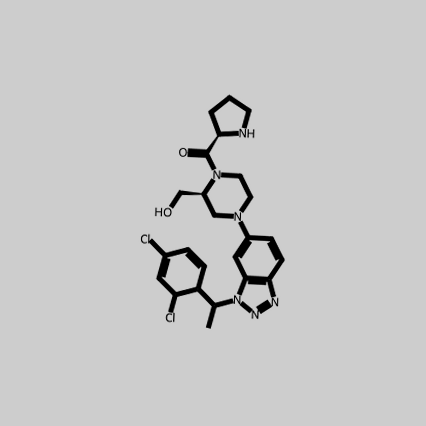 CC(C1C=CC(Cl)=CC1Cl)n1nnc2ccc(N3CCN(C(=O)[C@H]4CCCN4)[C@H](CO)C3)cc21